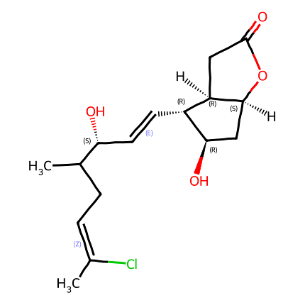 C/C(Cl)=C/CC(C)[C@H](O)/C=C/[C@@H]1[C@H]2CC(=O)O[C@H]2C[C@H]1O